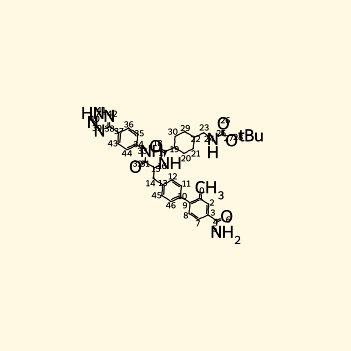 Cc1cc(C(N)=O)ccc1-c1ccc(C[C@H](NC(=O)C2CCC(CNC(=O)OC(C)(C)C)CC2)C(=O)Nc2ccc(-c3nn[nH]n3)cc2)cc1